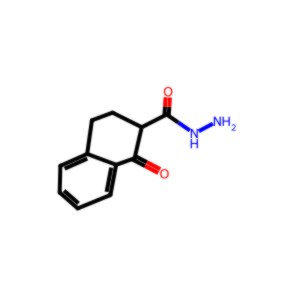 NNC(=O)C1CCc2ccccc2C1=O